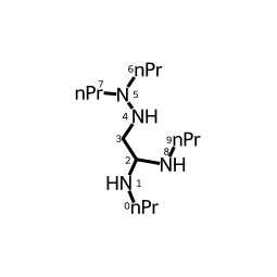 CCCNC(CNN(CCC)CCC)NCCC